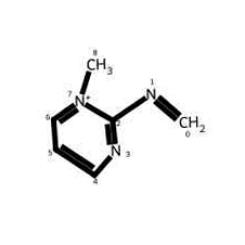 C=Nc1nccc[n+]1C